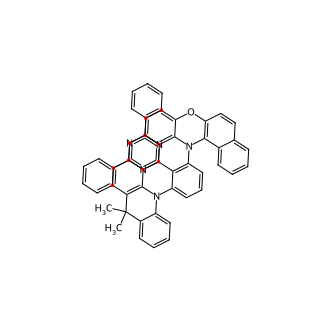 CC1(C)c2ccccc2N(c2cccc(N3c4ccccc4Oc4ccc5ccccc5c43)c2-c2nc(-c3ccccc3)nc(-c3ccccc3)n2)c2c1ccc1ccccc21